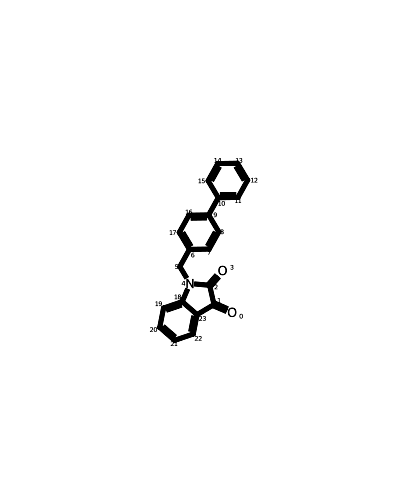 O=C1C(=O)N(Cc2ccc(-c3ccccc3)cc2)c2ccccc21